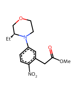 CC[C@H]1COCCN1c1ccc([N+](=O)[O-])c(CC(=O)OC)c1